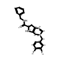 O=C(NCc1ccccc1)C1CC2=C(CN(Cc3ccc(F)c(F)c3)C=N2)N1